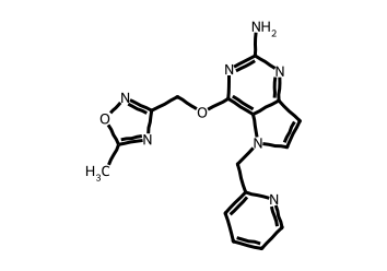 Cc1nc(COc2nc(N)nc3ccn(Cc4ccccn4)c23)no1